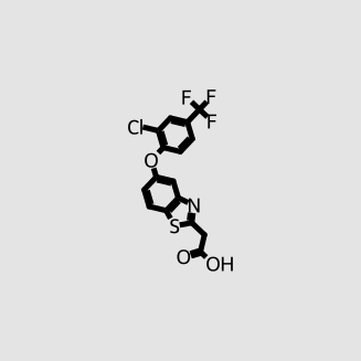 O=C(O)Cc1nc2cc(Oc3ccc(C(F)(F)F)cc3Cl)ccc2s1